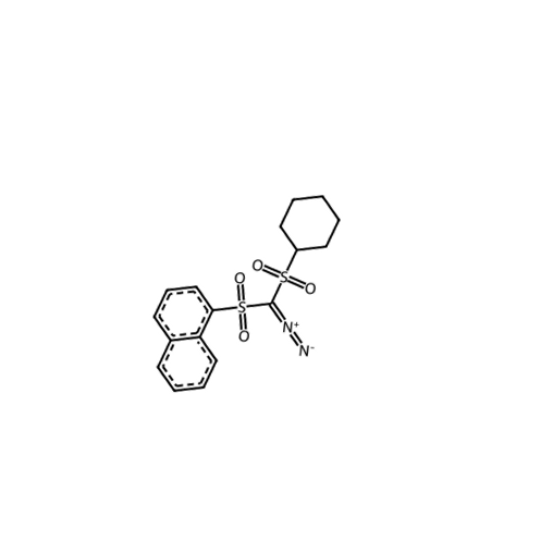 [N-]=[N+]=C(S(=O)(=O)c1cccc2ccccc12)S(=O)(=O)C1CCCCC1